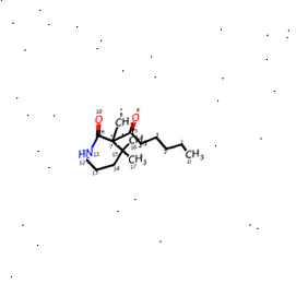 CCCCCC(=O)C1(C)C(=O)NCCCC1(C)C